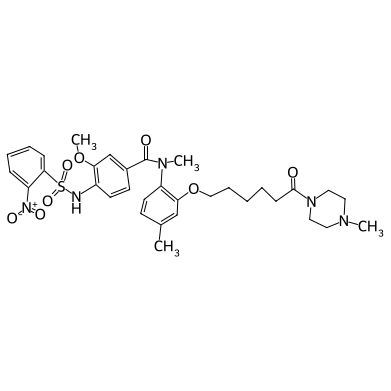 COc1cc(C(=O)N(C)c2ccc(C)cc2OCCCCCC(=O)N2CCN(C)CC2)ccc1NS(=O)(=O)c1ccccc1[N+](=O)[O-]